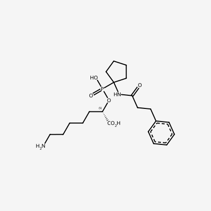 NCCCCC[C@H](OP(=O)(O)C1(NC(=O)CCc2ccccc2)CCCC1)C(=O)O